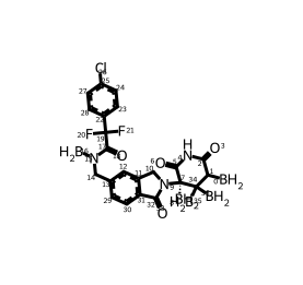 BC1C(=O)NC(=O)[C@](B)(N2Cc3cc(CN(B)C(=O)C(F)(F)c4ccc(Cl)cc4)ccc3C2=O)C1(B)B